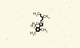 C=CC[C@@H](C)CC[N+]1=C(C)C(c2c(C)cc(C)cc2C)C=C1